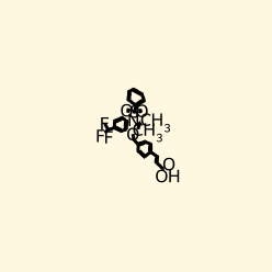 CC(C)N(c1ccc(C(F)(F)F)cc1OCc1ccc(C=CC(=O)O)cc1)S(=O)(=O)c1ccccc1